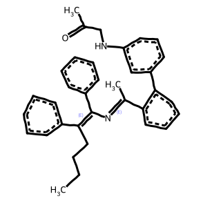 CCCC/C(=C(\N=C(/C)c1ccccc1-c1cccc(NCC(C)=O)c1)c1ccccc1)c1ccccc1